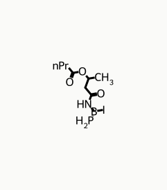 CCCC(=O)OC(C)CC(=O)NB(P)I